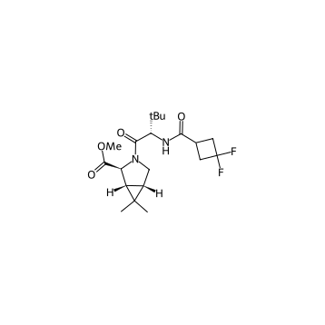 COC(=O)[C@@H]1[C@@H]2[C@H](CN1C(=O)[C@@H](NC(=O)C1CC(F)(F)C1)C(C)(C)C)C2(C)C